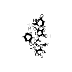 C=C1NC(=O)C=CN1[C@]1(C)O[C@H](COP(=S)(NC(C)C(=O)OC(C)C)Oc2ccccc2)C(O)C1F